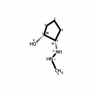 CNN[C@H]1CCC[C@H]1O